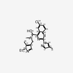 CCn1ncc(CN(C)C(O)c2nc(-n3cc(C)cn3)nc3ccc(Cl)cc23)c1C